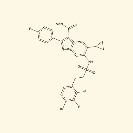 CNC(=O)c1c(-c2ccc(F)cc2)nn2cc(NS(=O)(=O)CCc3ccc(Br)c(F)c3F)c(C3CC3)cc12